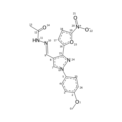 COc1ccc(-n2cc(C=NNC(C)=O)c(-c3ccc([N+](=O)[O-])o3)n2)cc1